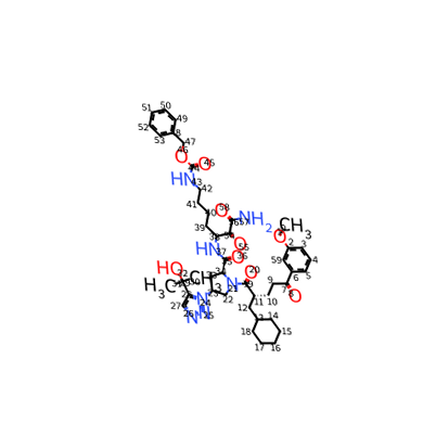 COc1cccc(C(=O)CC[C@H](CC2CCCCC2)C(=O)N2C[C@@H](n3nncc3C(C)(C)O)C[C@H]2C(=O)NC(CCCCNC(=O)OCc2ccccc2)C(=O)C(N)=O)c1